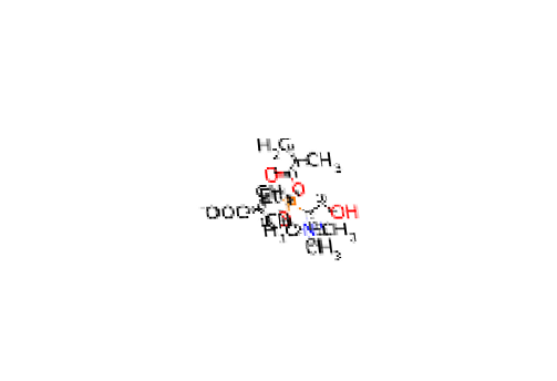 C=C(C)C(=O)OP(=O)(CC)C(CO)[N+](C)(C)C.C=C(C)C(=O)[O-]